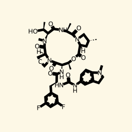 C[C@@H]1C[C@H]2C(=O)O[C@@H](C)[C@H](NC(=O)[C@H](Cc3cc(F)cc(F)c3)NC(=O)Nc3ccc4c(c3)CCN4C)C(=O)N3CCC[C@H]3C(=O)N(C)[C@@H]([C@H](C)O)C(=O)N[C@@H](C)C(=O)N2C1